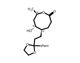 CCCCCC1(CC[C@@H]2CCC(=O)O[C@H](C)C[C@H]2O)OCCO1